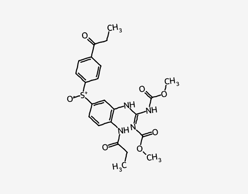 CCC(=O)Nc1ccc([S+]([O-])c2ccc(C(=O)CC)cc2)cc1NC(=NC(=O)OC)NC(=O)OC